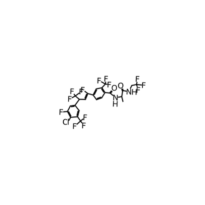 CC(NC(=O)c1ccc(/C(F)=C/C(c2cc(F)c(Cl)c(C(F)(F)F)c2)C(F)(F)F)cc1C(F)(F)F)C(=O)NCC(F)(F)F